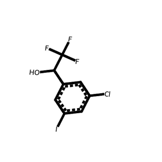 OC(c1cc(Cl)cc(I)c1)C(F)(F)F